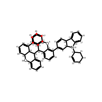 C1=CCC2Oc3c(C4=CC5C(C=C4)c4ccccc4N5C4C=CCCC4)cccc3C(C3c4ccccc4OC4C=CC=C(c5ccccc5)C43)C2=C1